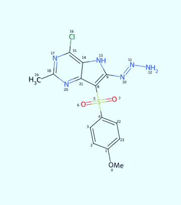 COc1ccc(S(=O)(=O)c2c(N=NN)[nH]c3c(Cl)nc(C)nc23)cc1